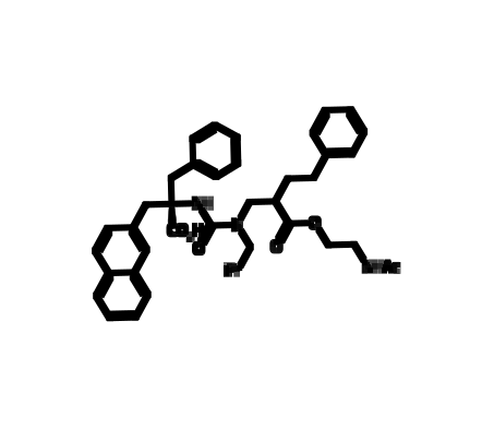 CC(=O)NCCOC(=O)C(CCc1ccccc1)CN(CC(C)C)C(=O)N[C@@](Cc1ccccc1)(Cc1ccc2ccccc2c1)C(=O)O